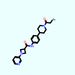 CC(C)CC(=O)N1CCC(c2ccc(NC(=O)C3CN(c4cccnc4)C3)cc2)CC1